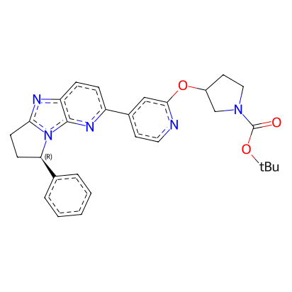 CC(C)(C)OC(=O)N1CCC(Oc2cc(-c3ccc4nc5n(c4n3)[C@@H](c3ccccc3)CC5)ccn2)C1